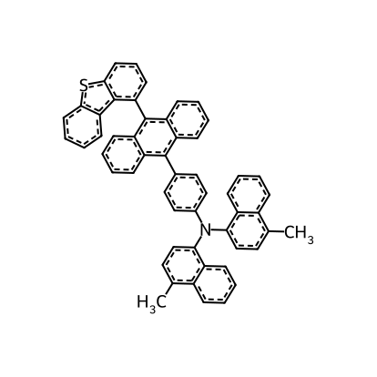 Cc1ccc(N(c2ccc(-c3c4ccccc4c(-c4cccc5sc6ccccc6c45)c4ccccc34)cc2)c2ccc(C)c3ccccc23)c2ccccc12